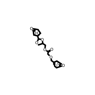 CC12CCC(COCC(=O)OCC3COC(C4CCC5(C)OC5C4)O3)CC1O2